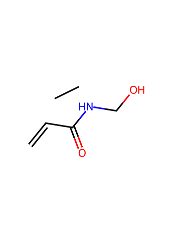 C=CC(=O)NCO.CC